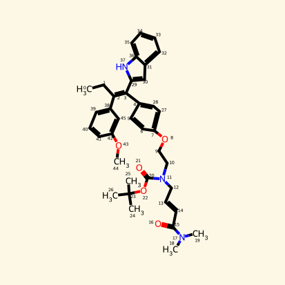 CC/C(=C(/c1ccc(OCCN(C/C=C/C(=O)N(C)C)C(=O)OC(C)(C)C)cc1)c1cc2ccccc2[nH]1)c1cccc(OC)c1